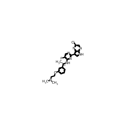 C[C@H](Nc1nc(-c2c[nH]c3ncc(Cl)nc23)ncc1F)c1cccc(OCCN(C)C)c1